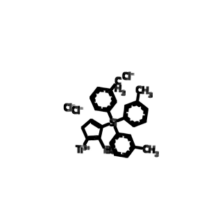 CCC(C)C1=[C]([Ti+3])CC=C1[Si](c1cccc(C)c1)(c1cccc(C)c1)c1cccc(C)c1.[Cl-].[Cl-].[Cl-]